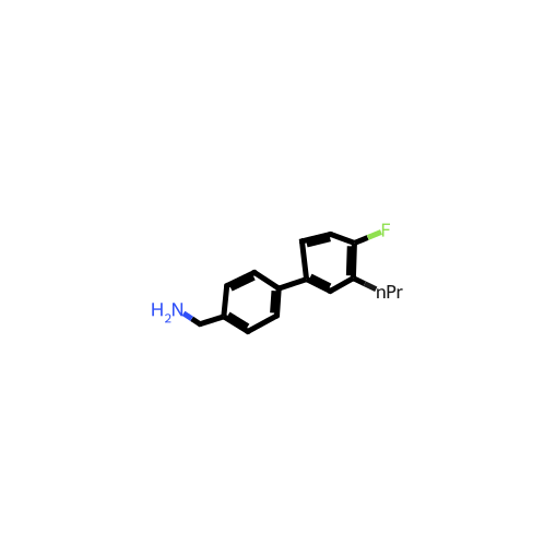 [CH2]CCc1cc(-c2ccc(CN)cc2)ccc1F